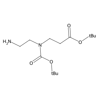 CC(C)(C)OC(=O)CCN(CCN)C(=O)OC(C)(C)C